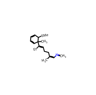 C=N/C=C(/C)CC/C=C(\CC)C1(C)C=CC=CC1SC